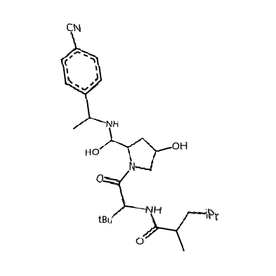 CC(C)CC(C)C(=O)NC(C(=O)N1CC(O)CC1C(O)NC(C)c1ccc(C#N)cc1)C(C)(C)C